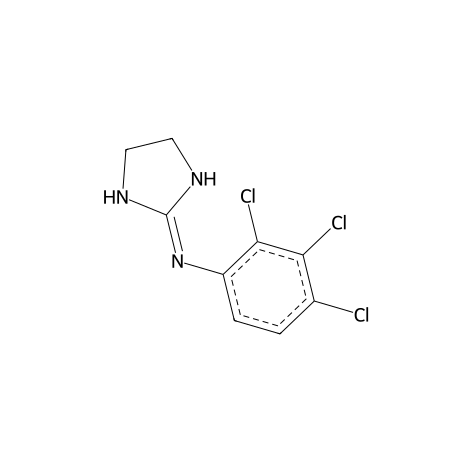 Clc1ccc(N=C2NCCN2)c(Cl)c1Cl